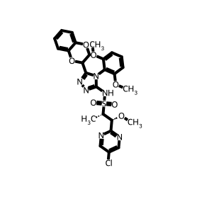 COc1cccc(OC)c1-n1c(NS(=O)(=O)[C@@H](C)[C@H](OC)c2ncc(Cl)cn2)nnc1C1COc2ccccc2O1